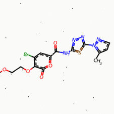 COCCOc1c(Br)cc(C(=O)Nc2nnc(-n3nccc3C)s2)oc1=O